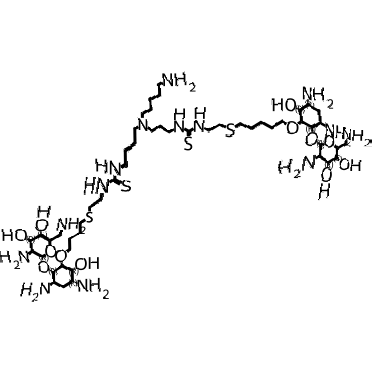 NCCCCCN(CCCCNC(=S)NCCSCCCCOC1[C@H](O[C@H]2OC(CN)[C@@H](O)[C@H](O)C2N)C(N)C[C@@H](N)[C@H]1O)CCCNC(=S)NCCSCCCCCOC1[C@H](O[C@H]2OC(CN)[C@@H](O)[C@H](O)C2N)C(N)C[C@@H](N)[C@H]1O